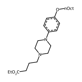 CCCCCCCCOc1ccc(N2CCN(CCCC(=O)OCC)CC2)cc1